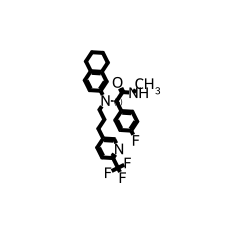 CNC(=O)[C@H](c1ccc(F)cc1)N(CCCc1ccc(C(F)(F)F)nc1)c1ccc2c(c1)CCCC2